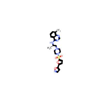 C[C@@H](CN1CCN(S(=O)(=O)c2ccc(-c3ccno3)o2)CC1)Nc1ncnc2c(C(F)(F)F)cccc12